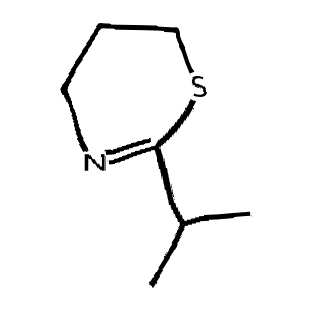 CC(C)C1=NCCCS1